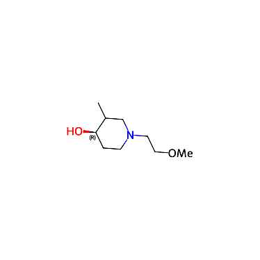 COCCN1CC[C@@H](O)C(C)C1